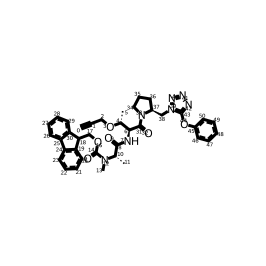 C#CCO[C@H](C)[C@H](NC(=O)[C@H](C)N(C)C(=O)OCC1c2ccccc2-c2ccccc21)C(=O)N1CCC[C@H]1Cn1nnnc1Oc1ccccc1